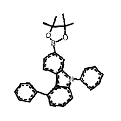 CC1(C)OB(c2ccc3c4c(-c5ccccc5)cccc4n(-c4ccccc4)c3c2)OC1(C)C